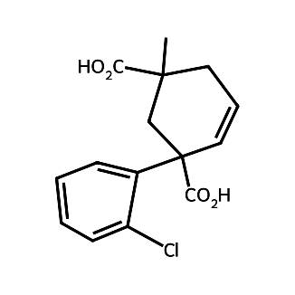 CC1(C(=O)O)CC=CC(C(=O)O)(c2ccccc2Cl)C1